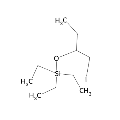 CCC(CI)O[Si](CC)(CC)CC